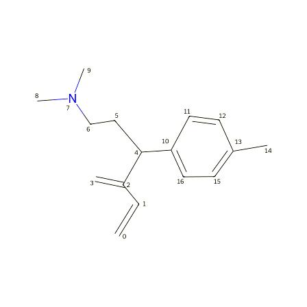 C=CC(=C)C(CCN(C)C)c1ccc(C)cc1